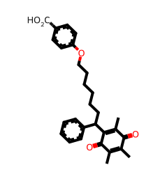 CC1=C(C)C(=O)C(C(CCCCCCOc2ccc(C(=O)O)cc2)c2ccccc2)=C(C)C1=O